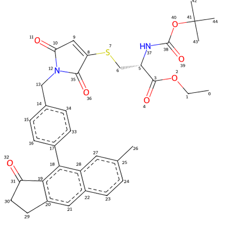 CCOC(=O)[C@H](CSC1=CC(=O)N(Cc2ccc(-c3c4c(cc5ccc(C)cc35)CCC4=O)cc2)C1=O)NC(=O)OC(C)(C)C